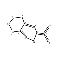 O=S(=O)=C1C=C2CCCOC2=CC1